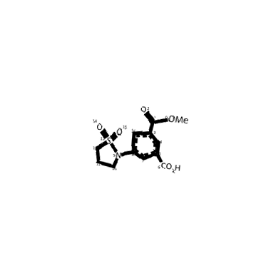 COC(=O)c1cc(C(=O)O)cc(N2CCCS2(=O)=O)c1